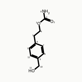 NC(=O)OCCc1ccc(CO)cc1